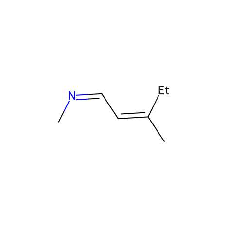 CC/C(C)=C\C=N/C